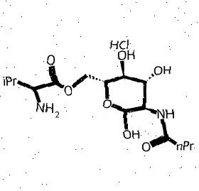 CCCC(=O)N[C@H]1C(O)O[C@H](COC(=O)C(N)C(C)C)[C@@H](O)[C@@H]1O.Cl